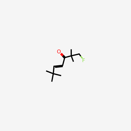 CC(C)(C)C=CC(=O)C(C)(C)CF